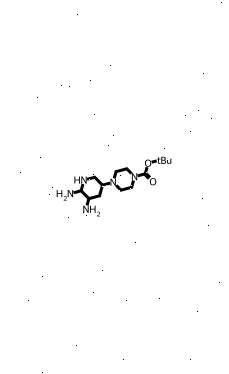 CC(C)(C)OC(=O)N1CCN(C2CNC(N)C(N)C2)CC1